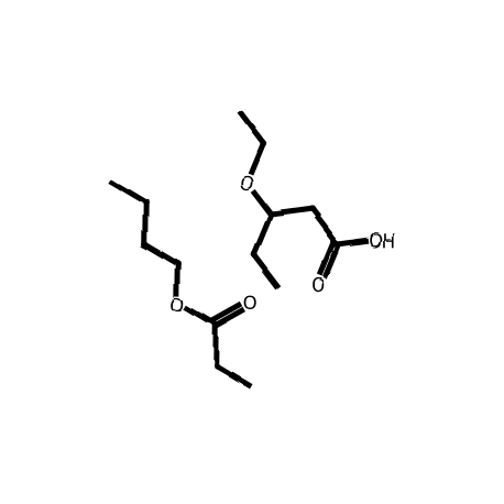 CCCCOC(=O)CC.CCOC(CC)CC(=O)O